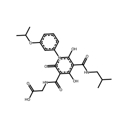 CC(C)CNC(=O)c1c(O)c(C(=O)NCC(=O)O)c(=O)n(-c2cccc(OC(C)C)c2)c1O